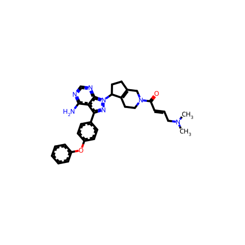 CN(C)CC=CC(=O)N1CCC2=C(CCC2n2nc(-c3ccc(Oc4ccccc4)cc3)c3c(N)ncnc32)C1